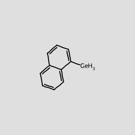 [GeH3][c]1cccc2ccccc12